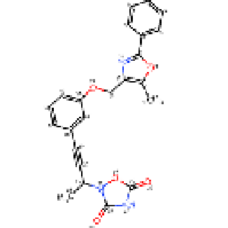 Cc1oc(-c2ccccc2)nc1COc1cccc(C#CC(C)n2oc(=O)[nH]c2=O)c1